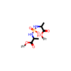 CC(C)OC(=O)C(C)NP(=O)(O)NC(C)C(=O)OC(C)C